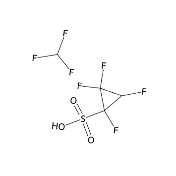 FC(F)F.O=S(=O)(O)C1(F)C(F)C1(F)F